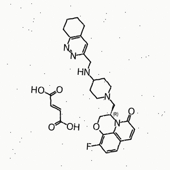 O=C(O)C=CC(=O)O.O=c1ccc2ccc(F)c3c2n1[C@H](CN1CCC(NCc2cc4c(nn2)CCCC4)CC1)CO3